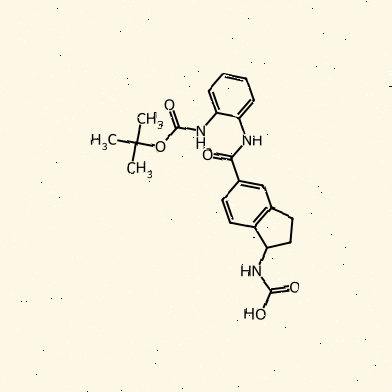 CC(C)(C)OC(=O)Nc1ccccc1NC(=O)c1ccc2c(c1)CCC2NC(=O)O